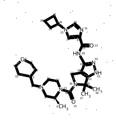 C[C@H]1CN(CC2CCOCC2)CCN1C(=O)N1Cc2c(NC(=O)c3cn(C4CCC4)cn3)n[nH]c2C1(C)C